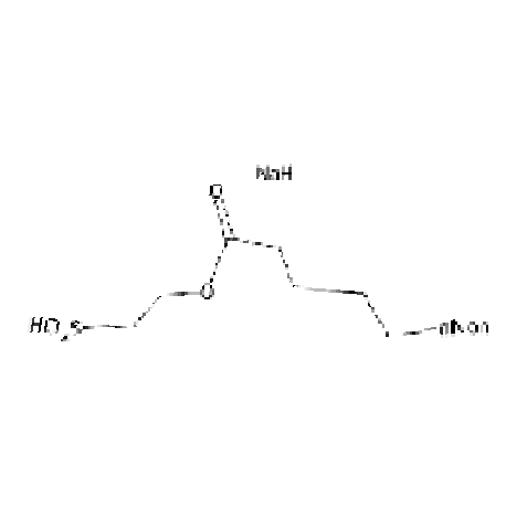 CCCCCCCCCCCCCC(=O)OCCS(=O)(=O)O.[NaH]